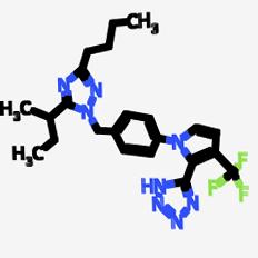 CCCCc1nc(C(C)CC)n(Cc2ccc(-n3ccc(C(F)(F)F)c3-c3nnn[nH]3)cc2)n1